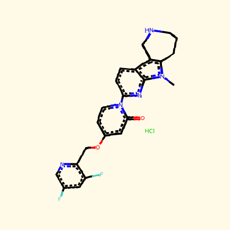 Cl.Cn1c2c(c3ccc(-n4ccc(OCc5ncc(F)cc5F)cc4=O)nc31)CNCCC2